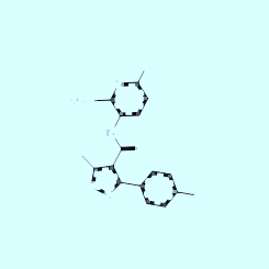 COc1nc(Br)ccc1NC(=O)c1c(-c2ccc(F)cc2)noc1C